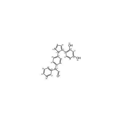 O=CN(c1ccc(-n2nccc2-c2ccc(O)cc2O)cc1)c1cccnc1